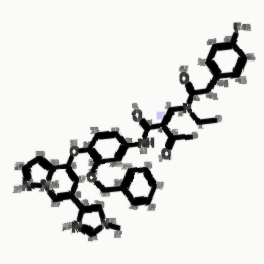 CCN(/C=C(\C(C)=O)C(=O)Nc1ccc(Oc2cc(-c3cn(C)cn3)cn3nccc23)c(OCc2ccccc2)c1)C(=O)Cc1ccc(F)cc1